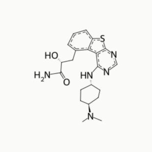 CN(C)[C@H]1CC[C@H](Nc2ncnc3sc4cccc(C[C@@H](O)C(N)=O)c4c23)CC1